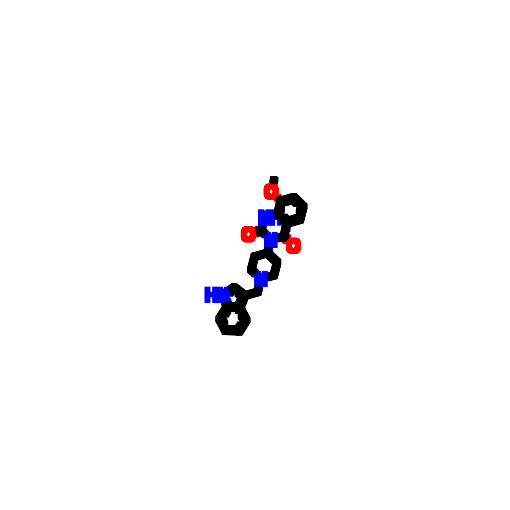 COc1cccc(C(=O)N(C(N)=O)C2CCN(Cc3c[nH]c4ccccc34)CC2)c1